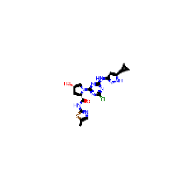 Cc1cnc(NC(=O)[C@@H]2C[C@H](O)CN2c2nc(Cl)nc(Nc3cc(C4CC4)[nH]n3)n2)s1